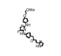 COCCOc1ccc(Nc2ncc(F)c(Nc3ccc(CC(=O)/C=C/c4ncc[nH]4)cc3)n2)cc1